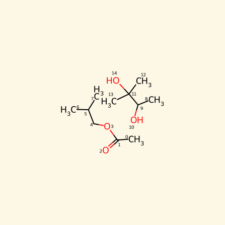 CC(=O)OCC(C)C.CC(O)C(C)(C)O